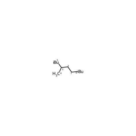 [CH2]CC(C)CCC(C)C(C)CC